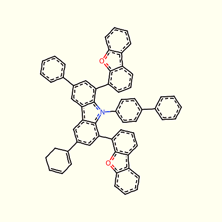 C1=CCCC(c2cc(-c3cccc4c3oc3ccccc34)c3c(c2)c2cc(-c4ccccc4)cc(-c4cccc5c4oc4ccccc45)c2n3-c2ccc(-c3ccccc3)cc2)=C1